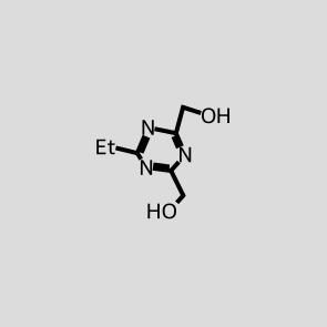 CCc1nc(CO)nc(CO)n1